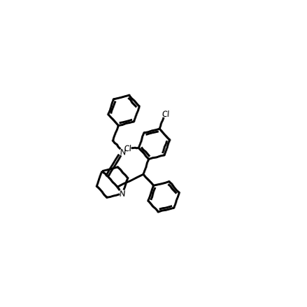 Clc1ccc(C(c2ccccc2)C2C(=NCc3ccccc3)C3CCN2CC3)c(Cl)c1